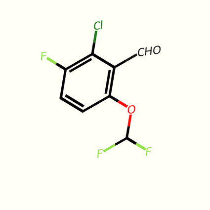 O=Cc1c(OC(F)F)ccc(F)c1Cl